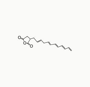 C=CC=CC=CC=CCC=CCC1CC(=O)OC1=O